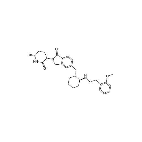 C=C1CCC(N2Cc3cc(C[C@H]4CCCC[C@@H]4NCCc4ccccc4OC)ccc3C2=O)C(=O)N1